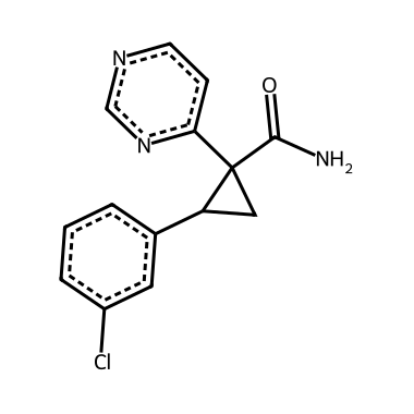 NC(=O)C1(c2ccncn2)CC1c1cccc(Cl)c1